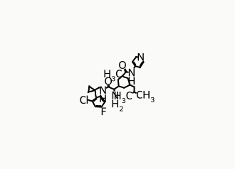 CC(C)CC1CC(C(N)C(=O)NCC2(c3ccc(F)cc3Cl)CC2)CC(C)(C(=O)Nc2ccncc2)C1